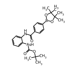 CC(C)(C)OC(=O)[AsH]c1ccccc1NC(=O)c1ccc(B2OC(C)(C)C(C)(C)O2)cc1